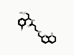 O=C(O)CC(NC(=O)CCNCC1C=CC2=CCCNC2=N1)c1cccc(F)c1